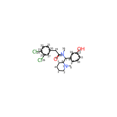 CN1CCCCC1C(c1cccc(O)c1)N(C)C(=O)Cc1ccc(Cl)c(Cl)c1